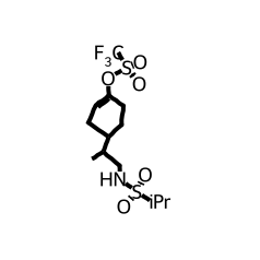 CC(CNS(=O)(=O)C(C)C)C1CC=C(OS(=O)(=O)C(F)(F)F)CC1